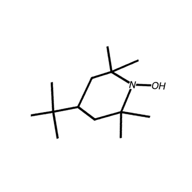 CC(C)(C)C1CC(C)(C)N(O)C(C)(C)C1